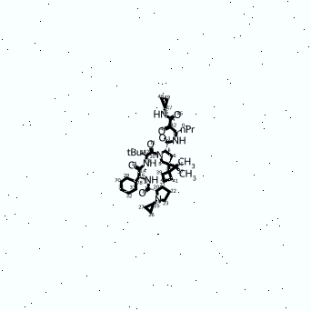 CCC[C@H](NC(=O)[C@@H]1C[C@@]2(CN1C(=O)[C@@H](NC(=O)[C@@H](NC(=O)[C@@H]1CCCN1C1CC1)C1CCCCC1)C(C)(C)C)C(C)(C)C21CCC1)C(=O)C(=O)NC1CC1